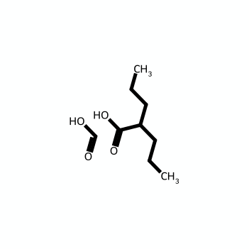 CCCC(CCC)C(=O)O.O=CO